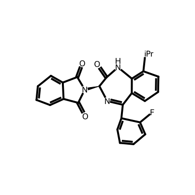 CC(C)c1cccc2c1NC(=O)[C@H](N1C(=O)c3ccccc3C1=O)N=C2c1ccccc1F